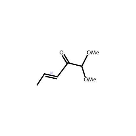 C/C=C/C(=O)C(OC)OC